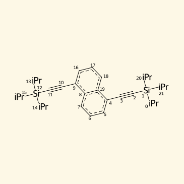 CC(C)[Si](C#Cc1cccc2c(C#C[Si](C(C)C)(C(C)C)C(C)C)cccc12)(C(C)C)C(C)C